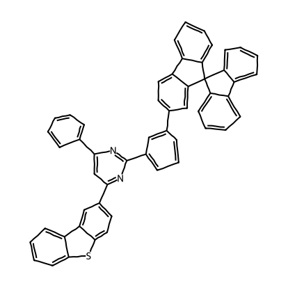 c1ccc(-c2cc(-c3ccc4sc5ccccc5c4c3)nc(-c3cccc(-c4ccc5c(c4)C4(c6ccccc6-c6ccccc64)c4ccccc4-5)c3)n2)cc1